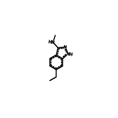 CCc1ccc2c(NC)n[nH]c2c1